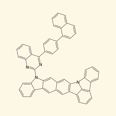 c1ccc2c(-c3ccc(-c4nc(-n5c6ccccc6c6cc7cc8c9cccc%10c%11ccccc%11n(c8cc7cc65)c%109)nc5ccccc45)cc3)cccc2c1